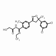 Cc1cc(C2=NOC(c3cc(Cl)cc(Cl)c3)(C(F)(F)F)C2)ccc1/C(=N/CC(F)(F)F)NC(=O)CO